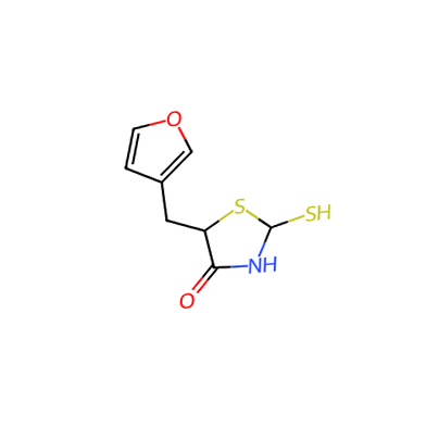 O=C1NC(S)SC1Cc1ccoc1